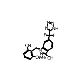 COc1cccc(C#N)c1Cn1nc(C)c2ccc(C(F)(F)c3nnn[nH]3)cc21